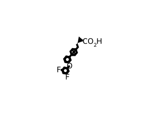 O=C(O)C1C[C@H]1CCC12CCC(c3cccc(Oc4cc(F)cc(F)c4)c3)(CC1)OC2